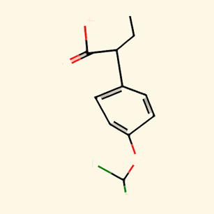 CCC(C(=O)O)c1ccc(OC(F)F)cc1